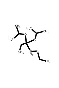 CCO[SiH2]C(CC)(OC(C)C)OC(C)C